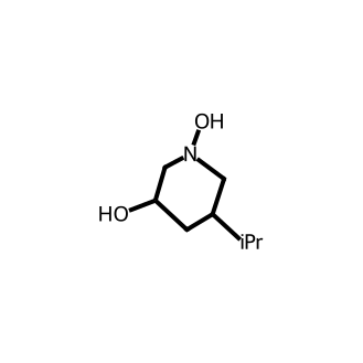 CC(C)C1CC(O)CN(O)C1